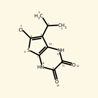 CC(C)c1c(Cl)sc2[nH]c(=O)c(=O)[nH]c12